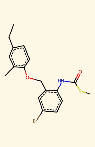 CCc1ccc(OCc2cc(Br)ccc2NC(=O)SC)c(C)c1